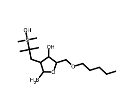 BC1OC(COCCCCC)C(O)C1CC(C)(C)[Si](C)(C)O